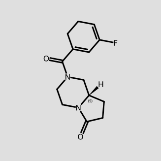 O=C(C1=CC(F)=CCC1)N1CCN2C(=O)CC[C@H]2C1